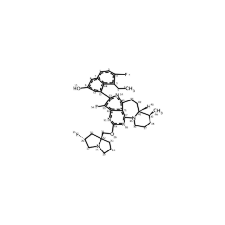 CCc1c(F)ccc2cc(O)cc(-c3nc4c5c(nc(OC[C@@]67CCCN6C[C@H](F)C7)nc5c3F)N3CCC[C@H](C)[C@H]3CC4)c12